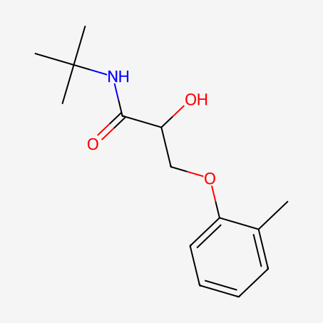 Cc1ccccc1OCC(O)C(=O)NC(C)(C)C